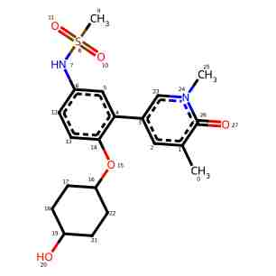 Cc1cc(-c2cc(NS(C)(=O)=O)ccc2OC2CCC(O)CC2)cn(C)c1=O